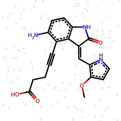 COc1cc[nH]c1C=C1C(=O)Nc2ccc(N)c(C#CCCC(=O)O)c21